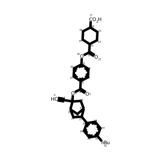 C#CC1(OC(=O)c2ccc(OC(=O)C3CCC(C(=O)O)CC3)cc2)CC2CC1CC2c1ccc(CCCC)cc1